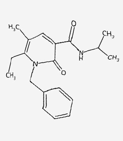 CCc1c(C)cc(C(=O)NC(C)C)c(=O)n1Cc1ccccc1